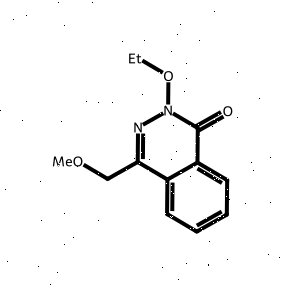 CCOn1nc(COC)c2ccccc2c1=O